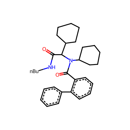 CCCCNC(=O)C(C1CCCCC1)N(C(=O)c1ccccc1-c1ccccc1)C1CCCCC1